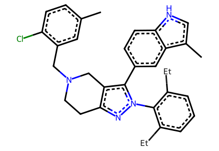 CCc1cccc(CC)c1-n1nc2c(c1-c1ccc3[nH]cc(C)c3c1)CN(Cc1cc(C)ccc1Cl)CC2